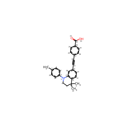 Cc1ccc(N2CCC(C)(C)c3ccc(C#Cc4ccc(C(=O)O)cc4)cc32)cc1